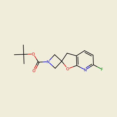 CC(C)(C)OC(=O)N1CC2(Cc3ccc(F)nc3O2)C1